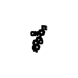 CCc1ccc(C2=Cc3ccc4c(c3OC2)CCC(C)(C)O4)c(N=O)c1